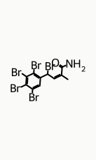 CC(=CC(Br)c1cc(Br)c(Br)c(Br)c1Br)C(N)=O